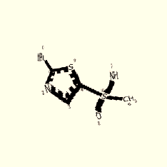 CC(C)(C)c1ncc(S(C)(=N)=O)s1